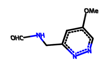 COc1cnnc(CNC=O)c1